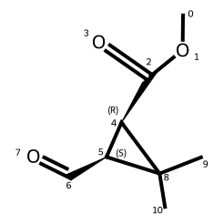 COC(=O)[C@@H]1[C@H](C=O)C1(C)C